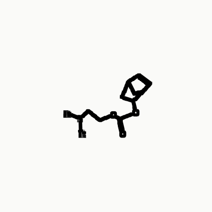 CCN(CC)CCOC(=O)OC1CC2C=CC1C2